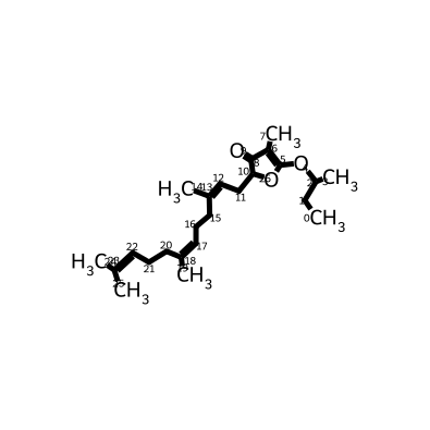 CCC(C)OC1=C(C)C(=O)C(CC=C(C)CCC=C(C)CCC=C(C)C)O1